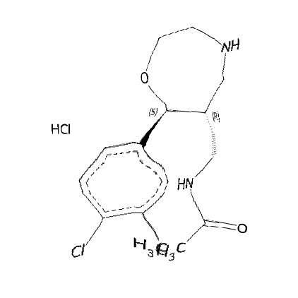 CC(=O)NC[C@H]1CNCCO[C@@H]1c1ccc(Cl)c(C)c1.Cl